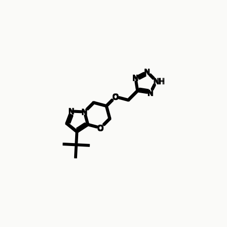 CC(C)(C)c1cnn2c1OCC(OCc1nn[nH]n1)C2